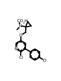 CN(C(=O)O)C1(COc2cnc(Cl)c(-c3ccc(Cl)cc3)c2)CC1